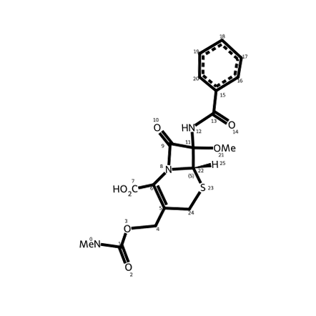 CNC(=O)OCC1=C(C(=O)O)N2C(=O)C(NC(=O)c3ccccc3)(OC)[C@@H]2SC1